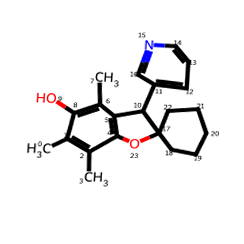 Cc1c(C)c2c(c(C)c1O)C(c1cccnc1)C1(CCCCC1)O2